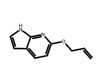 C=CCOc1ccc2cc[nH]c2n1